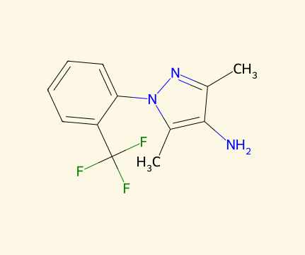 Cc1nn(-c2ccccc2C(F)(F)F)c(C)c1N